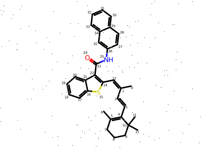 CC(C=CC1=C(C)CCCC1(C)C)=Cc1sc2ccccc2c1C(=O)Nc1ccc2ccccc2c1